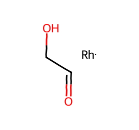 O=CCO.[Rh]